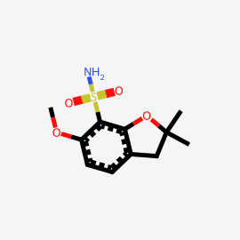 COc1ccc2c(c1S(N)(=O)=O)OC(C)(C)C2